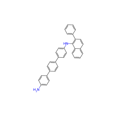 Nc1ccc(-c2ccc(-c3ccc(Nc4c(-c5ccccc5)ccc5ccccc45)cc3)cc2)cc1